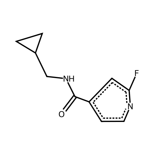 O=C(NCC1CC1)c1ccnc(F)c1